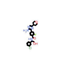 Nc1ncc(C2CCOCC2)nc1-c1ccc(C(=O)NC(CO)c2cccc(Cl)c2)c(F)c1